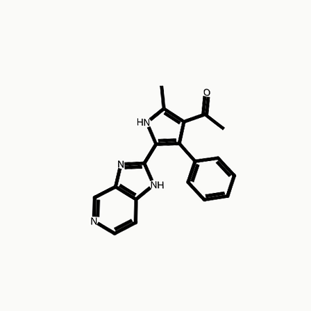 CC(=O)c1c(C)[nH]c(-c2nc3cnccc3[nH]2)c1-c1ccccc1